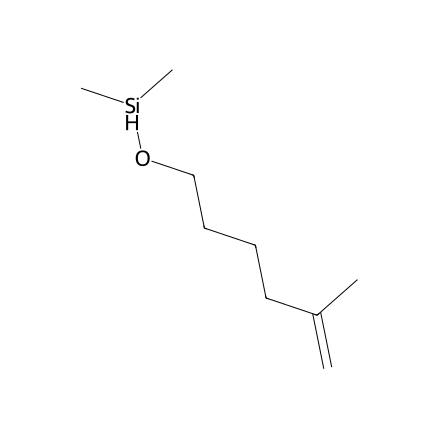 C=C(C)CCCCO[SiH](C)C